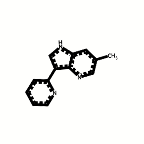 Cc1cnc2c(-c3ccccn3)c[nH]c2c1